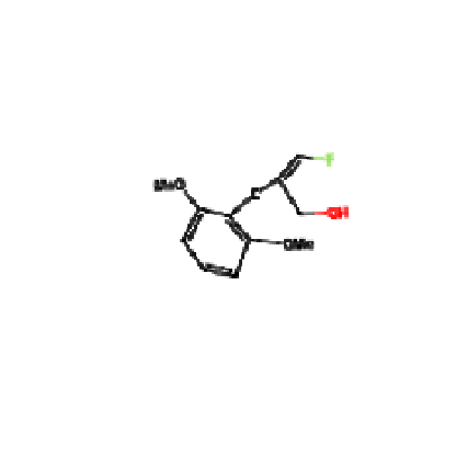 COc1cccc(OC)c1CC(=CF)CO